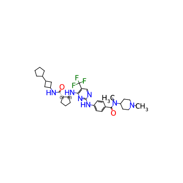 CN1CCC(N(C)C(=O)c2ccc(Nc3ncc(C(F)(F)F)c(N[C@@H]4CCC[C@@H]4C(=O)NC4CC(C5CCCC5)C4)n3)cc2)CC1